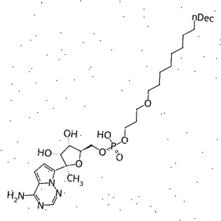 CCCCCCCCCCCCCCCCCCOCCCOP(=O)(O)OC[C@H]1O[C@@](C)(c2ccc3c(N)ncnn23)[C@H](O)[C@@H]1O